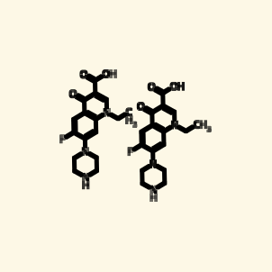 CCn1cc(C(=O)O)c(=O)c2cc(F)c(N3CCNCC3)cc21.CCn1cc(C(=O)O)c(=O)c2cc(F)c(N3CCNCC3)cc21